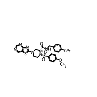 CCCc1ccc(CNC(=O)[C@H]2CN(c3nc4ncncc4s3)CCN2S(=O)(=O)c2ccc(OC(F)(F)F)cc2)cc1